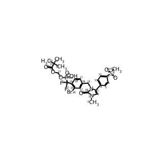 Cn1cc(-c2ccc(S(C)(=O)=O)cc2)n(Cc2ccc(C(F)(F)P(=O)(O)OCOC(=O)C(C)(C)C)c(Br)c2)c1=O